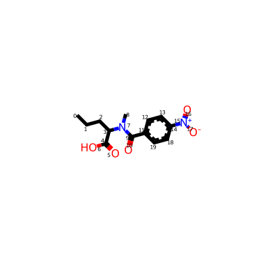 CCCC(C(=O)O)N(C)C(=O)c1ccc([N+](=O)[O-])cc1